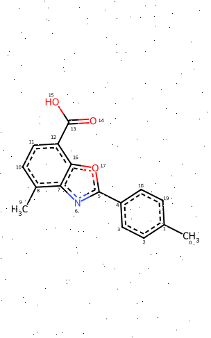 Cc1ccc(-c2nc3c(C)ccc(C(=O)O)c3o2)cc1